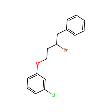 Clc1cccc(OCCC(Br)Cc2ccccc2)c1